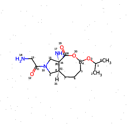 CC(C)OB1CCC[C@H]2CN(C(=O)CN)C[C@@]2(N)C(=O)O1